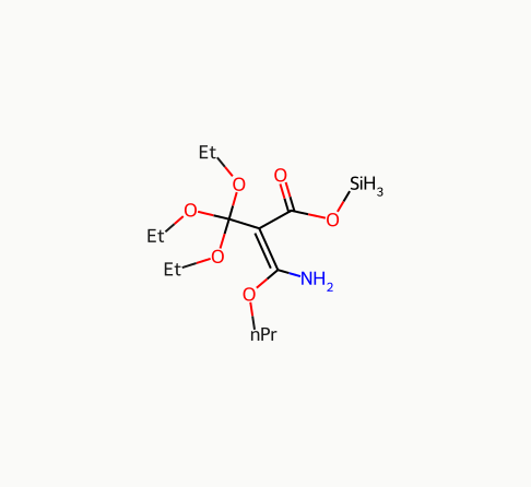 CCCOC(N)=C(C(=O)O[SiH3])C(OCC)(OCC)OCC